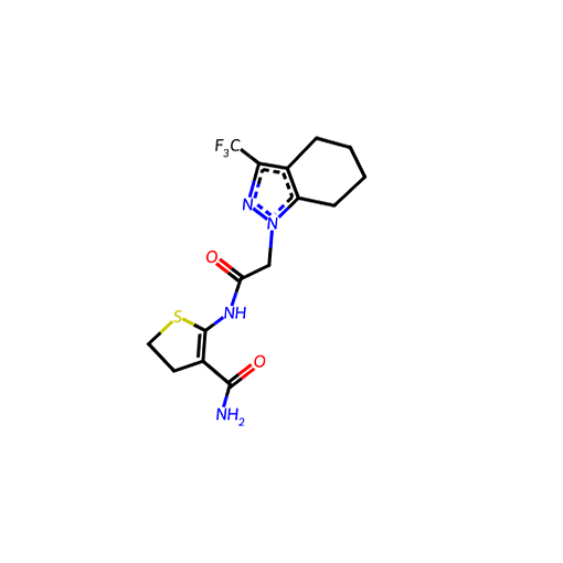 NC(=O)C1=C(NC(=O)Cn2nc(C(F)(F)F)c3c2CCCC3)SCC1